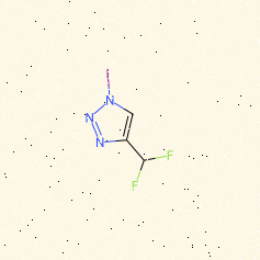 FC(F)c1cn(I)nn1